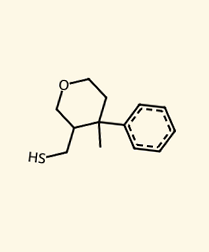 CC1(c2ccccc2)CCOCC1CS